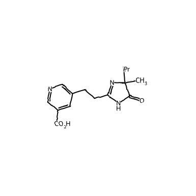 CC(C)C1(C)N=C(CCc2cncc(C(=O)O)c2)NC1=O